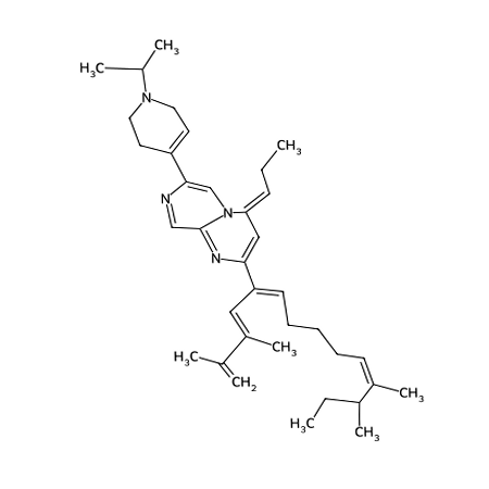 C=C(C)/C(C)=C/C(=C\CCC/C=C(/C)C(C)CC)C1=C/C(=C/CC)N2C=C(C3=CCN(C(C)C)CC3)N=CC2=N1